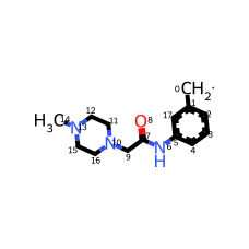 [CH2]c1cccc(NC(=O)CN2CCN(C)CC2)c1